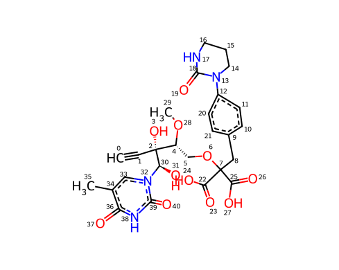 C#C[C@@](O)([C@@H](COC(Cc1ccc(N2CCCNC2=O)cc1)(C(=O)O)C(=O)O)OC)[C@@H](O)n1cc(C)c(=O)[nH]c1=O